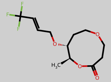 C[C@@H]1OC(=O)CCOCC[C@H]1OC/C=C/C(F)(F)F